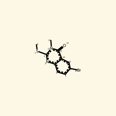 CSc1nc2ccc(Br)cc2c(=O)n1C